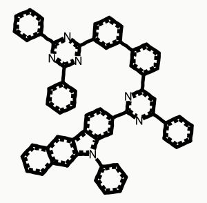 c1ccc(-c2cc(-c3cccc(-c4cccc(-c5nc(-c6ccccc6)nc(-c6ccccc6)n5)c4)c3)nc(-c3ccc4c5cc6ccccc6cc5n(-c5ccccc5)c4c3)n2)cc1